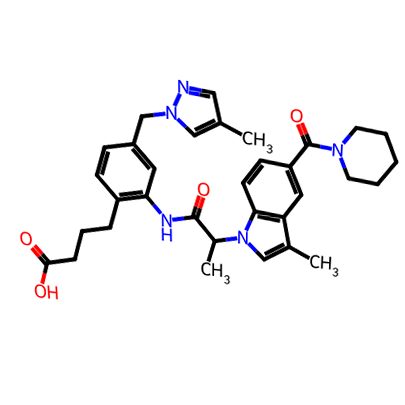 Cc1cnn(Cc2ccc(CCCC(=O)O)c(NC(=O)C(C)n3cc(C)c4cc(C(=O)N5CCCCC5)ccc43)c2)c1